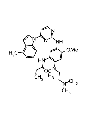 C=CC(=O)Nc1cc(Nc2nccc(-n3ccc4c(C)cccc43)n2)c(OC)cc1N(C)CCN(C)C